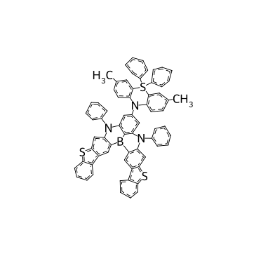 Cc1ccc2c(c1)S(c1ccccc1)(c1ccccc1)c1cc(C)ccc1N2c1cc2c3c(c1)N(c1ccccc1)c1cc4sc5ccccc5c4cc1B3c1cc3c(cc1N2c1ccccc1)sc1ccccc13